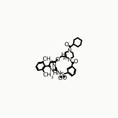 Cc1cccc(C)c1-c1cc2nc(n1)NS(=O)(=O)c1cccc(c1)C(=O)N1CCN(C(=O)C3CCCCC3)C[C@@H]1CO2